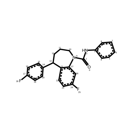 O=C(Nc1ccccc1)N1CCCC(c2ccc(F)cc2)c2ccc(F)cc21